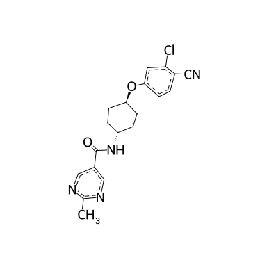 Cc1ncc(C(=O)N[C@H]2CC[C@H](Oc3ccc(C#N)c(Cl)c3)CC2)cn1